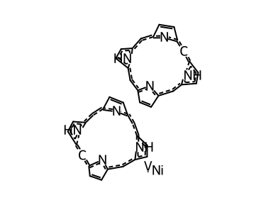 C1=Cc2cc3ccc(cc4nc(cc5ccc(cc1n2)[nH]5)C=C4)[nH]3.C1=Cc2cc3ccc(cc4nc(cc5ccc(cc1n2)[nH]5)C=C4)[nH]3.[Ni].[V]